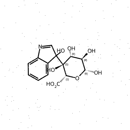 O=C(O)[C@H]1O[C@@H](O)[C@H](O)[C@@H](O)[C@@]1(O)C1(O)C=Nc2ccccc21